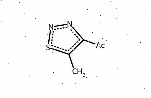 CC(=O)c1nnsc1C